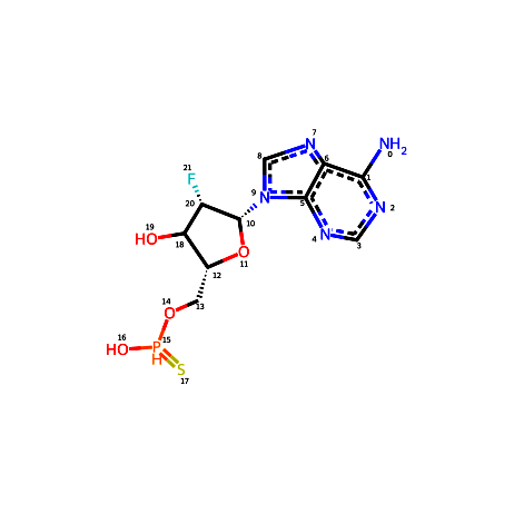 Nc1ncnc2c1ncn2[C@@H]1O[C@H](CO[PH](O)=S)C(O)[C@@H]1F